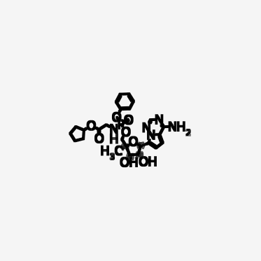 C[C@]1(COP(=O)(NCC(=O)OC2CCCC2)Oc2ccccc2)O[C@@H](c2ccc3c(N)ncnn23)[C@H](O)[C@@H]1O